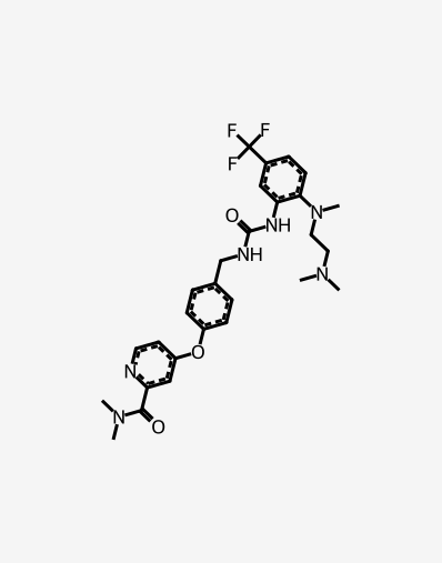 CN(C)CCN(C)c1ccc(C(F)(F)F)cc1NC(=O)NCc1ccc(Oc2ccnc(C(=O)N(C)C)c2)cc1